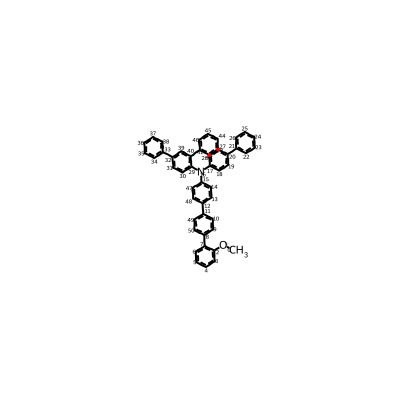 COc1ccccc1-c1ccc(-c2ccc(N(c3ccc(-c4ccccc4)cc3)c3ccc(-c4ccccc4)cc3-c3ccccc3)cc2)cc1